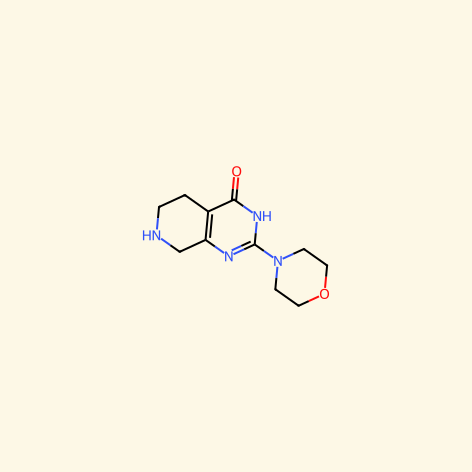 O=c1[nH]c(N2CCOCC2)nc2c1CCNC2